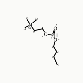 CCCCO[PH](=O)OCC[N+](C)(C)C